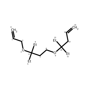 C=CCOC(CC)(CC)CCOC(CC)(CC)CC=C